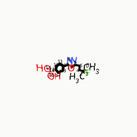 CC(C)(F)CCc1nnc(-c2ccc(B(O)O)cc2)o1